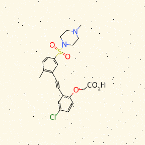 Cc1ccc(S(=O)(=O)N2CCN(C)CC2)cc1C#Cc1cc(Cl)ccc1OCC(=O)O